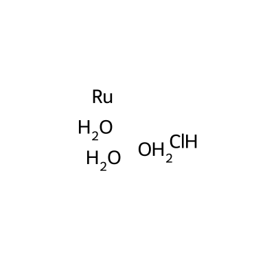 Cl.O.O.O.[Ru]